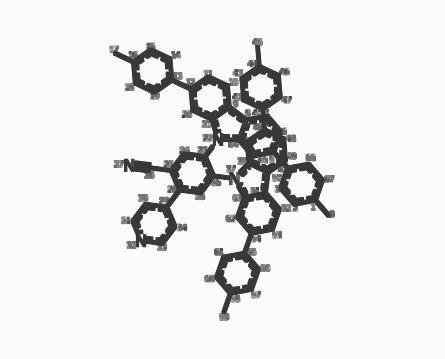 Cc1ccc(-c2ccc3c4ccc(-c5ccc(C)cc5)cc4n(-c4cc(C#N)c(-c5ccncc5)cc4-n4c5cc(-c6ccc(C)cc6)ccc5c5ccc(-c6ccc(C)cc6)cc54)c3c2)cc1